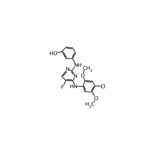 COc1cc(Nc2nc(Nc3cccc(O)c3)ncc2F)c(OC)cc1Cl